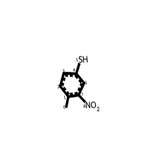 Cc1ccc(S)cc1[N+](=O)[O-]